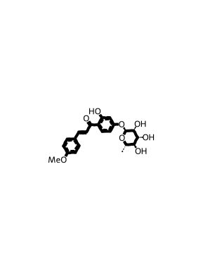 COc1ccc(/C=C/C(=O)c2ccc(O[C@@H]3O[C@@H](C)[C@H](O)[C@@H](O)[C@H]3O)cc2O)cc1